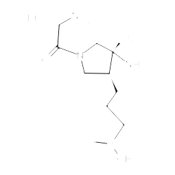 CC[C@H](N)C(=O)N1C[C@H](CCCB(O)O)[C@](N)(C(=O)O)C1